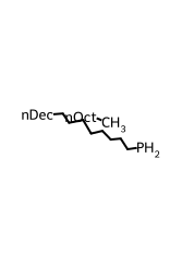 CCCCCCCCC.CCCCCCCCCCCCCCCCCCP